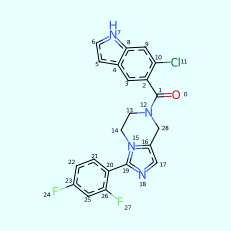 O=C(c1cc2cc[nH]c2cc1Cl)N1CCn2c(cnc2-c2ccc(F)cc2F)C1